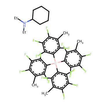 CC[NH+](CC)C1CCCCC1.Cc1c(F)c(F)c(F)c([B-](c2c(F)c(C)c(F)c(F)c2F)(c2c(F)c(C)c(F)c(F)c2F)c2c(F)c(C)c(F)c(F)c2F)c1F